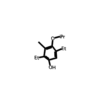 CCc1cc(O)c(CC)c(C)c1OC(C)C